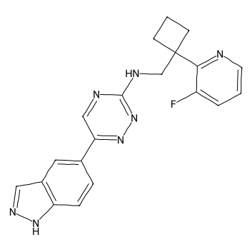 Fc1cccnc1C1(CNc2ncc(-c3ccc4[nH]ncc4c3)nn2)CCC1